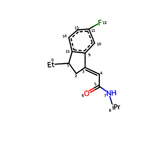 CCC1CC(=CC(=O)NC(C)C)c2cc(F)ccc21